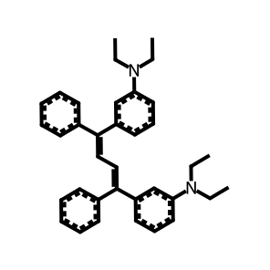 CCN(CC)c1cccc(C(=CC=C(c2ccccc2)c2cccc(N(CC)CC)c2)c2ccccc2)c1